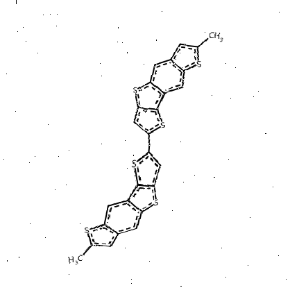 Cc1cc2cc3sc4cc(-c5cc6sc7cc8cc(C)sc8cc7c6s5)sc4c3cc2s1